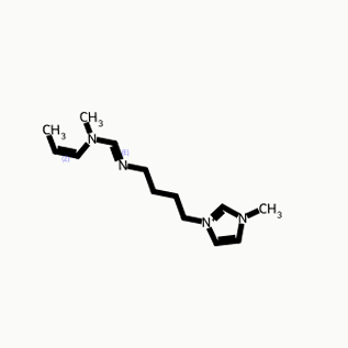 C/C=C\N(C)/C=N/CCCC[n+]1ccn(C)c1